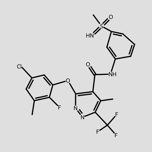 Cc1cc(Cl)cc(Oc2nnc(C(F)(F)F)c(C)c2C(=O)Nc2cccc(S(C)(=N)=O)c2)c1F